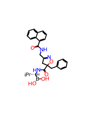 CC(C)[C@H](NC(=O)C1(Cc2ccccc2)CC(CNC(=O)c2cccc3ccccc23)=NO1)B(O)O